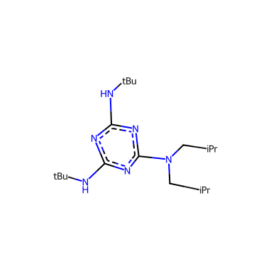 CC(C)CN(CC(C)C)c1nc(NC(C)(C)C)nc(NC(C)(C)C)n1